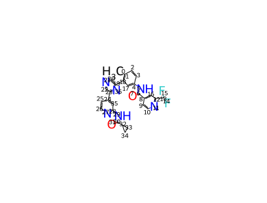 Cc1ccc(NC(=O)c2ccnc(C(F)F)c2)cc1-c1cncc(-c2ccnc(NC(=O)C3CC3)c2)n1